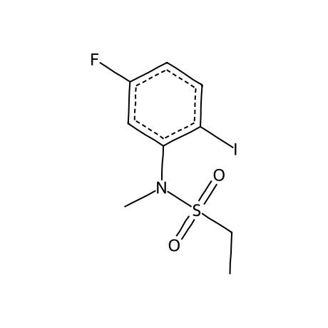 CCS(=O)(=O)N(C)c1cc(F)ccc1I